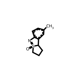 Cc1ccc2c(c1)C1CCCS1(=O)=N2